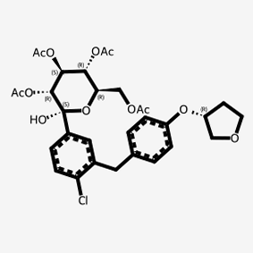 CC(=O)OC[C@H]1O[C@@](O)(c2ccc(Cl)c(Cc3ccc(O[C@@H]4CCOC4)cc3)c2)[C@H](OC(C)=O)[C@@H](OC(C)=O)[C@@H]1OC(C)=O